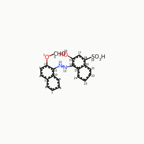 O=COc1ccc2ccccc2c1N=Nc1c(O)cc(S(=O)(=O)O)c2ccccc12